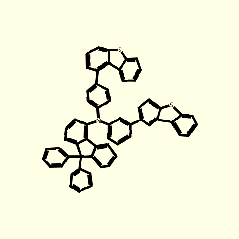 c1ccc(C2(c3ccccc3)c3ccccc3-c3c(N(c4ccc(-c5cccc6sc7ccccc7c56)cc4)c4cccc(-c5ccc6sc7ccccc7c6c5)c4)cccc32)cc1